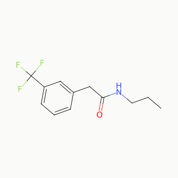 CCCNC(=O)Cc1cccc(C(F)(F)F)c1